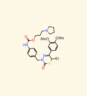 CCC1SC(=O)N(Cc2ccc(NC(=O)OCCCN3CCCC3)cc2)N=C1c1ccc(OC)c(OC)c1